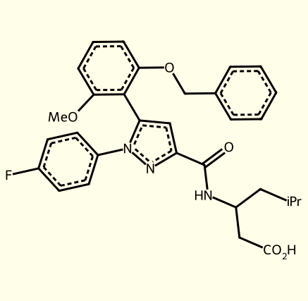 COc1cccc(OCc2ccccc2)c1-c1cc(C(=O)NC(CC(=O)O)CC(C)C)nn1-c1ccc(F)cc1